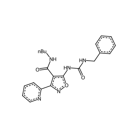 CCCCNC(=O)c1c(-c2ccccn2)noc1NC(=O)NCc1ccccc1